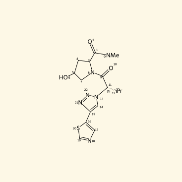 CNC(=O)C1CC(O)CN1C(=O)[C@H](C(C)C)n1cc(-c2cncs2)nn1